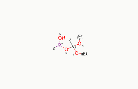 CCOC(C)(OCC)OP(C)O